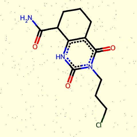 NC(=O)C1CCCc2c1[nH]c(=O)n(CCCCl)c2=O